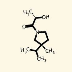 CC(C)[C@@]1(C)CCN(C(=O)[C@H](C)O)C1